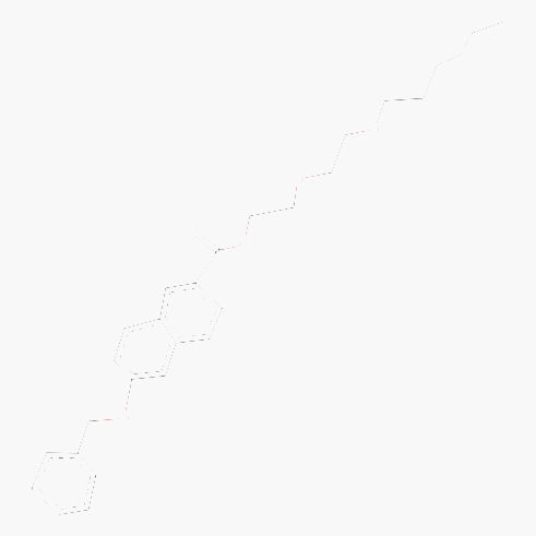 CCCCCCOCCOCCOC(=O)c1ccc2cc(OCc3ccccc3)ccc2c1